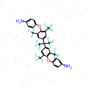 Nc1ccc(Oc2c(C(F)(F)F)cc(C(c3cc(C(F)(F)F)c(Oc4ccc(N)cc4)c(C(F)(F)F)c3)(C(F)(F)F)C(F)(F)F)cc2C(F)(F)F)cc1